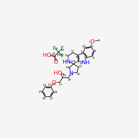 COc1ccc2[nH]c3c(c2c1)CCNC31CCN(CC(O)COc2ccccc2)C1.O=C(O)C(F)(F)F